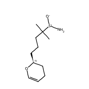 CC(C)(CCC[C@H]1CCC=CO1)[S+](N)[O-]